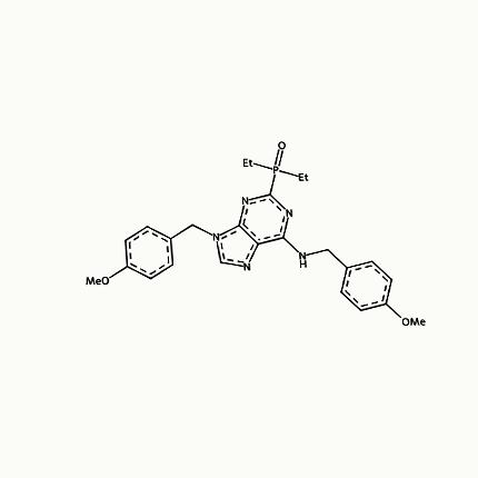 CCP(=O)(CC)c1nc(NCc2ccc(OC)cc2)c2ncn(Cc3ccc(OC)cc3)c2n1